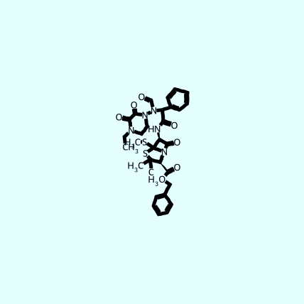 CCN1CCN(N(C=O)C(C(=O)N[C@H]2C(=O)N3[C@@H](C(=O)OCc4ccccc4)C(C)(C)SC23SC)c2ccccc2)C(=O)C1=O